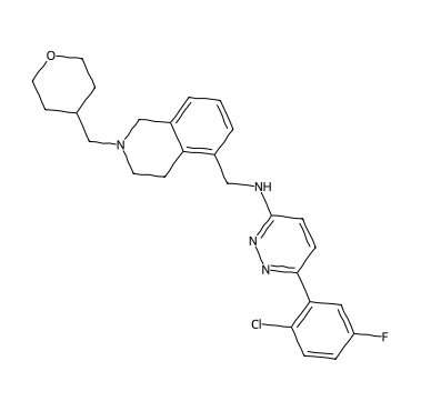 Fc1ccc(Cl)c(-c2ccc(NCc3cccc4c3CCN(CC3CCOCC3)C4)nn2)c1